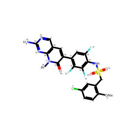 COc1ccc(Cl)cc1CS(=O)(=O)Nc1c(F)cc(-c2cc3cnc(N)nc3n(C(C)C)c2=O)c(F)c1F